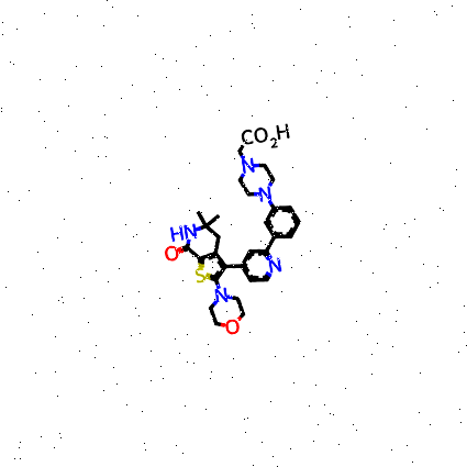 CC1(C)Cc2c(sc(N3CCOCC3)c2-c2ccnc(-c3cccc(N4CCN(CC(=O)O)CC4)c3)c2)C(=O)N1